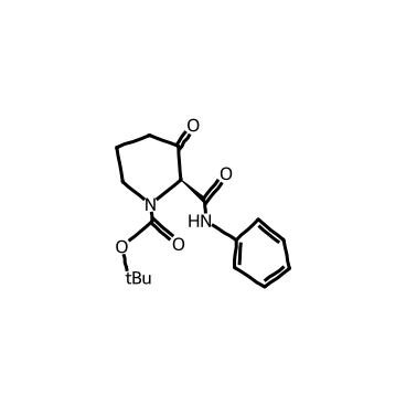 CC(C)(C)OC(=O)N1CCCC(=O)[C@H]1C(=O)Nc1ccccc1